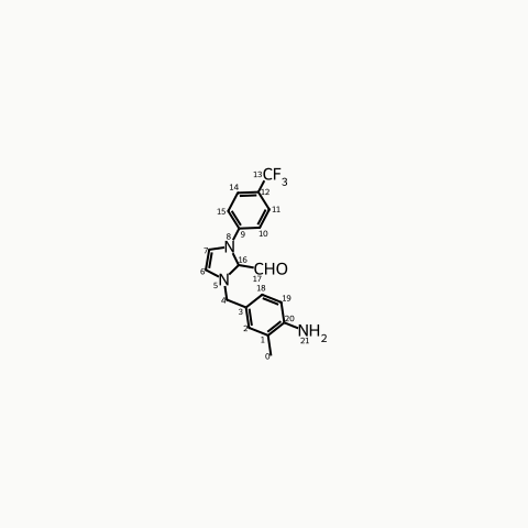 Cc1cc(CN2C=CN(c3ccc(C(F)(F)F)cc3)C2C=O)ccc1N